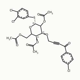 CC(=O)OCC1O[C@H](Sc2ccc(Cl)c(Cl)c2)C(OC(C)=O)[C@@H](OCC#CC(=O)c2ccc(Cl)cc2)[C@H]1OC(C)=O